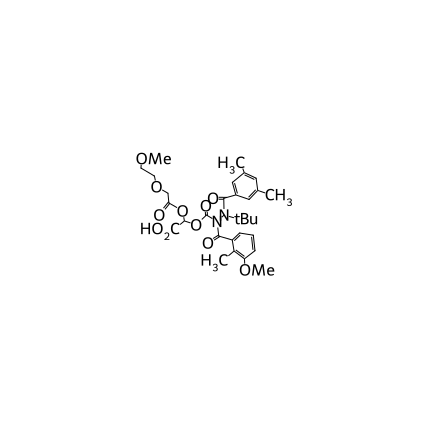 COCCOCC(=O)OC(OC(=O)N(C(=O)c1cccc(OC)c1C)N(C(=O)c1cc(C)cc(C)c1)C(C)(C)C)C(=O)O